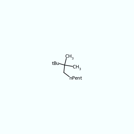 CCCCCCC(C)(C)C(C)(C)C